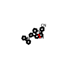 N#Cc1ccc(-c2cccc(-n3c4ccccc4c4ccccc43)c2)c(-c2ccccc2-n2c3ccccc3c3ccc(C#N)cc32)c1